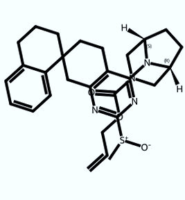 C=CCOC(=O)N1C[C@H]2CC[C@@H](C1)N2c1nc([S+](C)[O-])nc2c1CCC1(CCCc3ccccc31)C2